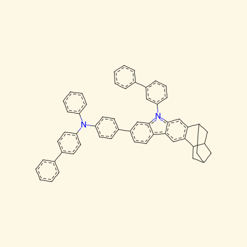 c1ccc(-c2ccc(N(c3ccccc3)c3ccc(-c4ccc5c6cc7c(cc6n(-c6cccc(-c8ccccc8)c6)c5c4)C4CC5CC(C4)C7C5)cc3)cc2)cc1